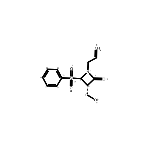 C=CCN1C(=O)[C@H](CO)[C@H]1S(=O)(=O)c1ccccc1